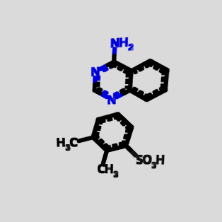 Cc1cccc(S(=O)(=O)O)c1C.Nc1ncnc2ccccc12